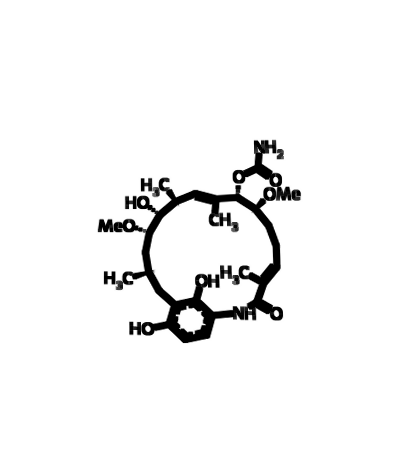 CO[C@H]1C[C@H](C)Cc2c(O)ccc(c2O)NC(=O)/C(C)=C/CC[C@H](OC)[C@@H](OC(N)=O)/C(C)=C/[C@H](C)[C@H]1O